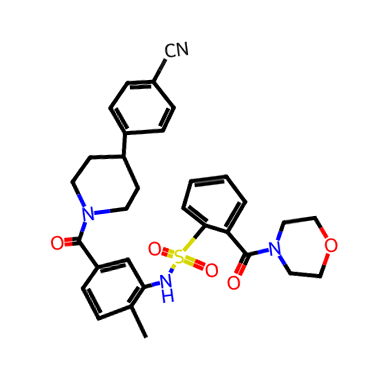 Cc1ccc(C(=O)N2CCC(c3ccc(C#N)cc3)CC2)cc1NS(=O)(=O)c1ccccc1C(=O)N1CCOCC1